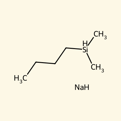 CCCC[SiH](C)C.[NaH]